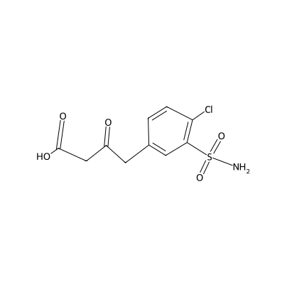 NS(=O)(=O)c1cc(CC(=O)CC(=O)O)ccc1Cl